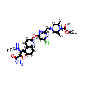 CCCNc1c(C(N)=O)oc2ccc3nc(Oc4cc(Cl)nc(CN5CC(C)N(C(=O)OC(C)(C)C)C(C)C5)n4)ccc3c12